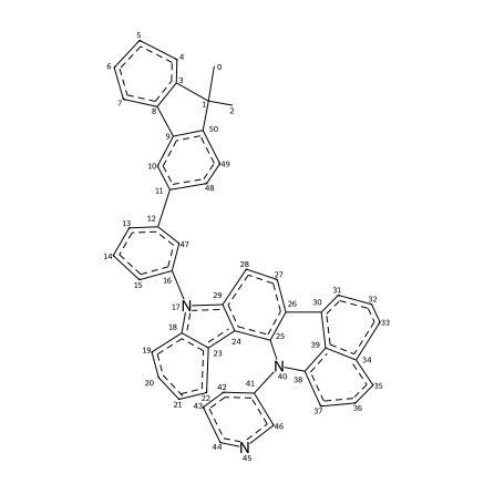 CC1(C)c2ccccc2-c2cc(-c3cccc(-n4c5ccccc5c5c6c(ccc54)-c4cccc5cccc(c45)N6c4cccnc4)c3)ccc21